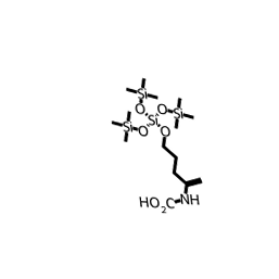 C=C(CCCO[Si](O[Si](C)(C)C)(O[Si](C)(C)C)O[Si](C)(C)C)NC(=O)O